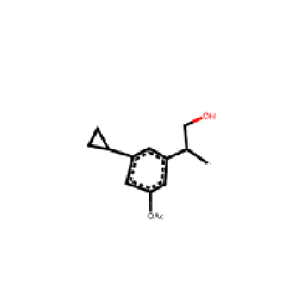 [CH2]C(CO)c1cc(OC(C)=O)cc(C2CC2)c1